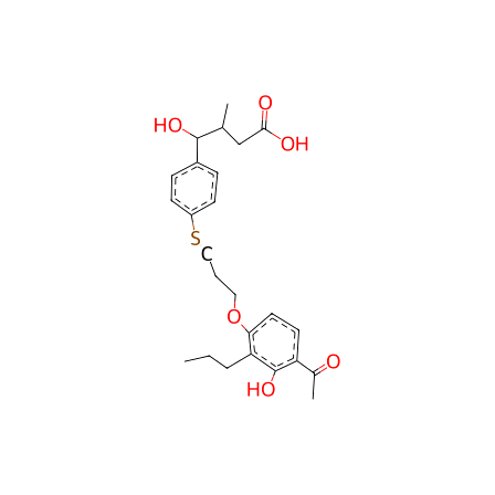 CCCc1c(OCCCSc2ccc(C(O)C(C)CC(=O)O)cc2)ccc(C(C)=O)c1O